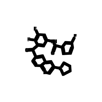 O=C(Nc1cc(F)c(F)c(C(=O)c2ccc3ncc(N4CCCC4)cc3c2)c1)c1cccc(F)c1